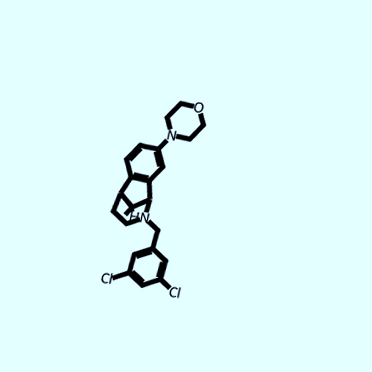 C[C@H]1C2CCN(Cc3cc(Cl)cc(Cl)c3)C1c1cc(N3CCOCC3)ccc12